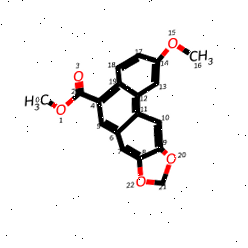 COC(=O)c1cc2cc3c(cc2c2cc(OC)ccc12)OCO3